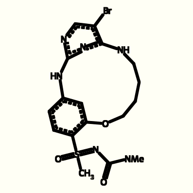 CNC(=O)N=S(C)(=O)c1ccc2cc1OCCCCNc1nc(ncc1Br)N2